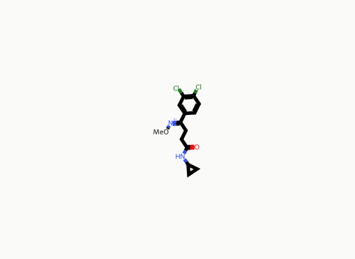 CO/N=C(\CCC(=O)NC1CC1)c1ccc(Cl)c(Cl)c1